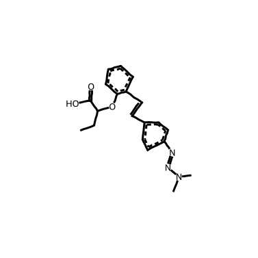 CCC(Oc1ccccc1C=Cc1ccc(N=NN(C)C)cc1)C(=O)O